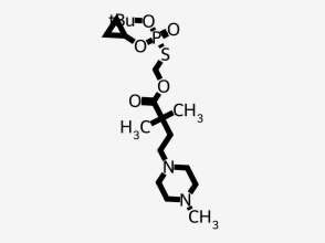 CN1CCN(CCC(C)(C)C(=O)OCSP(=O)(OC2CC2)OC(C)(C)C)CC1